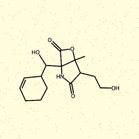 CC12OC(=O)C1(C(O)C1C=CCCC1)NC(=O)C2CCO